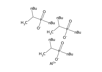 CCCCC(C)P(=O)([O-])CCCC.CCCCC(C)P(=O)([O-])CCCC.CCCCC(C)P(=O)([O-])CCCC.[Al+3]